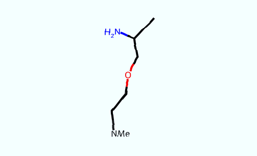 CNCCOCC(C)N